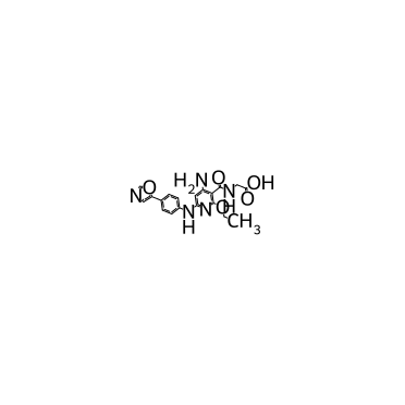 CCOc1nc(Nc2ccc(-c3cnco3)cc2)cc(N)c1C(=O)NCC(=O)O